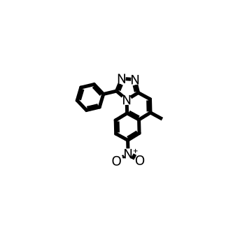 Cc1cc2nnc(-c3ccccc3)n2c2ccc([N+](=O)[O-])cc12